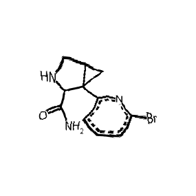 NC(=O)C1NCC2CC21c1cccc(Br)n1